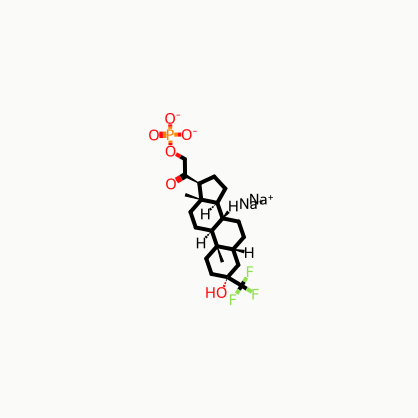 C[C@]12CC[C@](O)(C(F)(F)F)C[C@H]1CC[C@@H]1[C@@H]2CC[C@]2(C)[C@@H](C(=O)COP(=O)([O-])[O-])CC[C@@H]12.[Na+].[Na+]